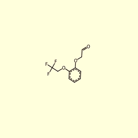 O=CCOc1ccccc1OCC(F)(F)F